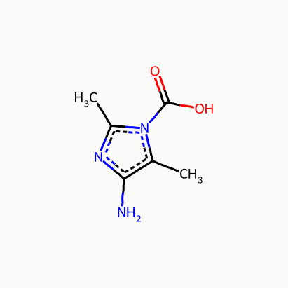 Cc1nc(N)c(C)n1C(=O)O